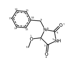 COC1C(=O)NC(=O)N1Cc1ccccc1